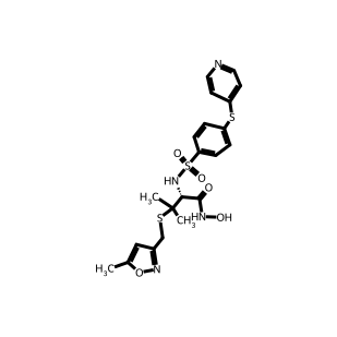 Cc1cc(CSC(C)(C)[C@H](NS(=O)(=O)c2ccc(Sc3ccncc3)cc2)C(=O)NO)no1